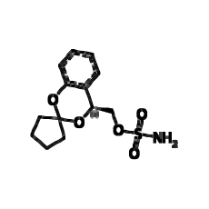 NS(=O)(=O)OC[C@H]1OC2(CCCC2)Oc2ccccc21